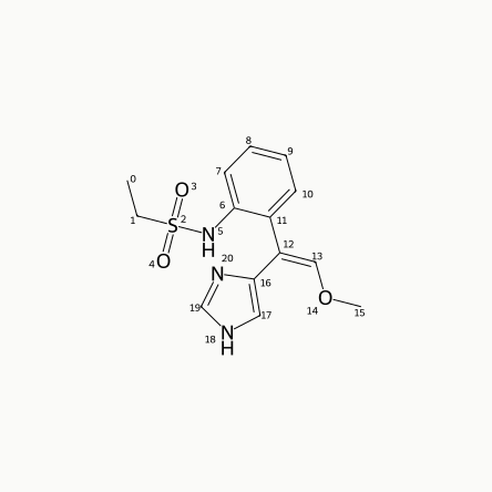 CCS(=O)(=O)Nc1ccccc1C(=COC)c1c[nH]cn1